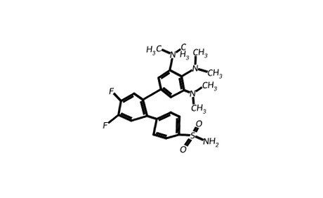 CN(C)c1cc(-c2cc(F)c(F)cc2-c2ccc(S(N)(=O)=O)cc2)cc(N(C)C)c1N(C)C